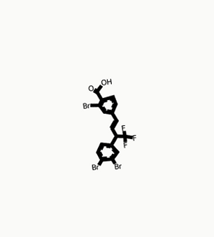 O=C(O)c1ccc(C=CC(c2ccc(Br)c(Br)c2)C(F)(F)F)cc1Br